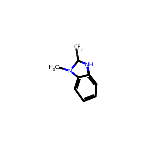 CN1c2ccccc2NC1C(F)(F)F